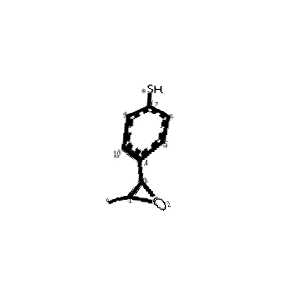 CC1OC1c1ccc(S)cc1